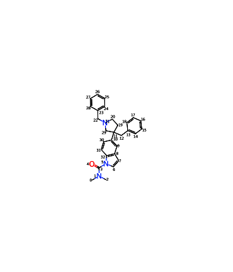 CN(C)C(=O)n1ccc2cc(C3(Cc4ccccc4)CCN(Cc4ccccc4)C3)ccc21